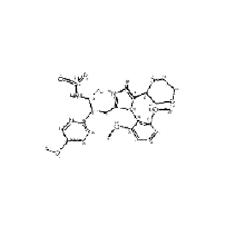 COc1cnc([C@H](Cc2nnc([C@@H]3COCCO3)n2-c2c(OC)cccc2OC)[C@@H](C)N[SH](=O)=O)nc1